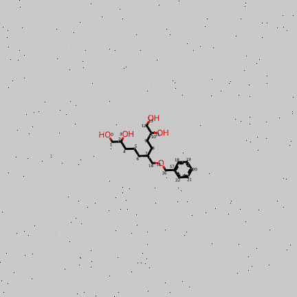 OCC(O)CCCC(CCC(O)CO)COCc1ccccc1